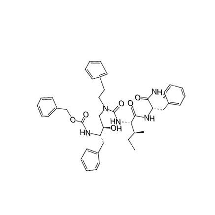 CC[C@H](C)[C@H](NC(=O)N(CCc1ccccc1)C[C@@H](O)[C@H](Cc1ccccc1)NC(=O)OCc1ccccc1)C(=O)N[C@@H](Cc1ccccc1)C(N)=O